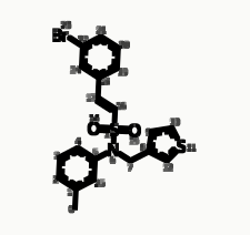 Cc1cccc(N(Cc2ccsc2)S(=O)(=O)/C=C/c2cccc(Br)c2)c1